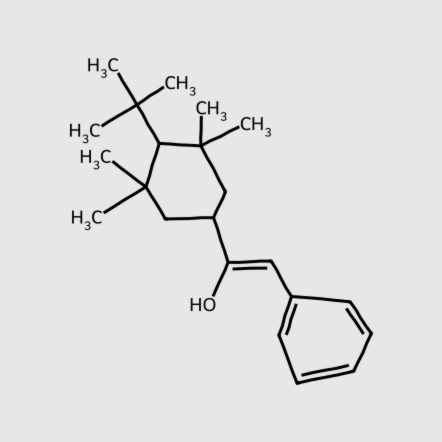 CC(C)(C)C1C(C)(C)CC(/C(O)=C/c2ccccc2)CC1(C)C